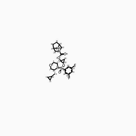 O=C(OC1([C@H]2COC[C@@H](CC3CC3)N2S(=O)(=O)c2cc(F)cc(F)c2)CC1)N1CC2CCC(C1)N2